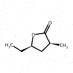 CC[C@@H]1C[C@H](C)C(=O)O1